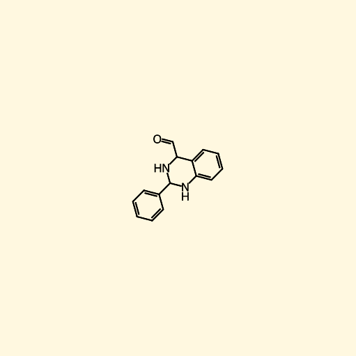 O=CC1NC(c2ccccc2)Nc2ccccc21